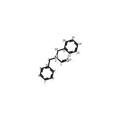 S=[C]N(Cc1ccccc1)Cc1ccccc1